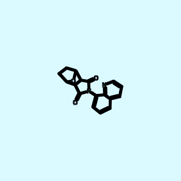 O=C1C2C3CCC(O3)C2C(=O)N1c1cccc2cccnc12